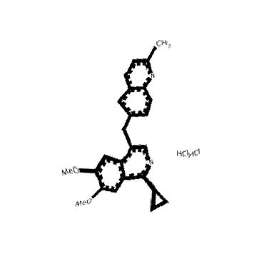 COc1cc2c(Cc3ccc4nc(C)ccc4c3)cnc(C3CC3)c2cc1OC.Cl.Cl